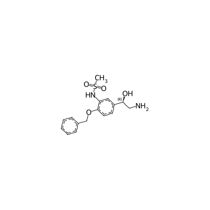 CS(=O)(=O)Nc1cc([C@@H](O)CN)ccc1OCc1ccccc1